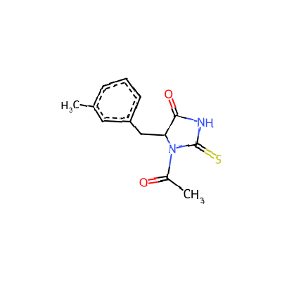 CC(=O)N1C(=S)NC(=O)C1Cc1cccc(C)c1